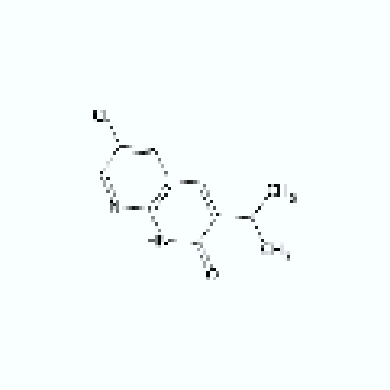 CC(C)c1cc2cc(Cl)cnc2[nH]c1=O